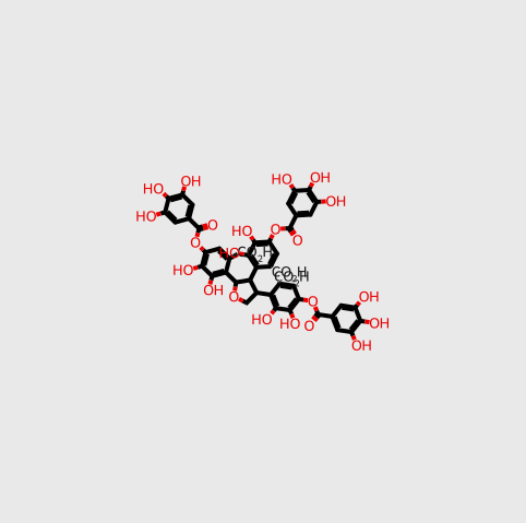 O=C(Oc1cc(C(=O)O)c(C2COC(c3c(C(=O)O)cc(OC(=O)c4cc(O)c(O)c(O)c4)c(O)c3O)C2c2c(C(=O)O)cc(OC(=O)c3cc(O)c(O)c(O)c3)c(O)c2O)c(O)c1O)c1cc(O)c(O)c(O)c1